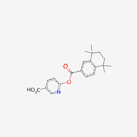 CC1(C)CCC(C)(C)c2cc(C(=O)Oc3ccc(C(=O)O)cn3)ccc21